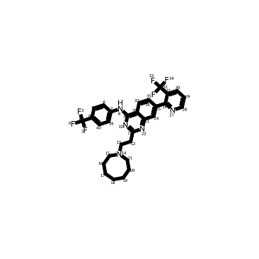 FC(F)(F)c1ccc(Nc2nc(CCN3CCCCCCC3)nc3cc(-c4ncccc4C(F)(F)F)ccc23)cc1